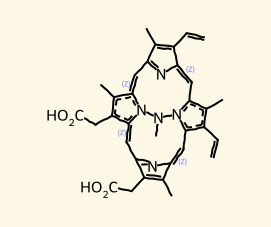 C=CC1=C(C)C2=NC/1=C\c1c(C)c(C=C)c3n1N(C)n1/c(c(C)c(CC(=O)O)/c1=C/C1=NC(=C\3)/C(C)=C1CC(=O)O)=C\2